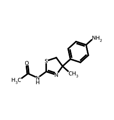 CC(=O)NC1=NC(C)(c2ccc(N)cc2)CS1